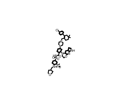 CC1(C)CCC(CN2CCN(c3ccc(C(=O)NS(=O)(=O)c4ccc(NCC5CCOCC5)c(P(C)(C)=O)c4)c(N4CCOc5nc6[nH]ccc6cc54)c3)CC2)=C(c2ccc(Cl)cc2)C1